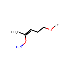 CCOCCC=C(ON)C(=O)O